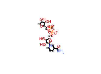 COP(=O)(OC[C@H]1O[C@@H](N2C=CCC(C(N)=O)=C2)[C@H](O)[C@@H]1O)OP(=O)(OC)OC[C@H]1OC[C@H](O)[C@@H]1O